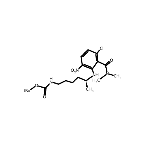 C[C@@H](CCCCNC(=O)OC(C)(C)C)Nc1c([N+](=O)[O-])ccc(Cl)c1C(=O)N(C)C